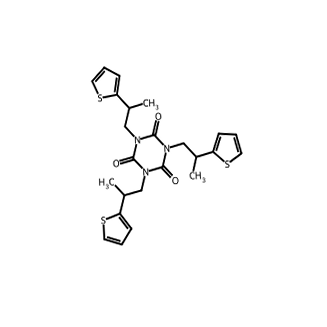 CC(Cn1c(=O)n(CC(C)c2cccs2)c(=O)n(CC(C)c2cccs2)c1=O)c1cccs1